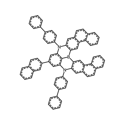 c1ccc(-c2ccc(N3c4cc5ccc6ccccc6c5cc4B4c5cc6c(ccc7ccccc76)cc5N(c5ccc(-c6ccccc6)cc5)c5cc(-c6ccc7ccccc7c6)cc3c54)cc2)cc1